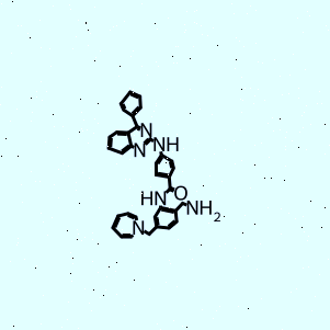 NCc1ccc(CN2C=CC=CC=C2)cc1NC(=O)c1ccc(Nc2nc(-c3ccccc3)c3ccccc3n2)cc1